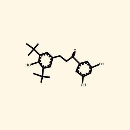 CC(C)(C)c1cc(CCC(=O)c2cc(O)cc(O)c2)cc(C(C)(C)C)c1O